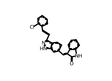 O=C1Nc2ccccc2/C1=C\c1ccc2c(/C=C/c3ccccc3Cl)n[nH]c2c1